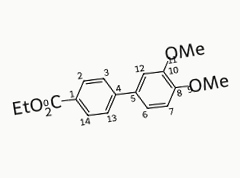 CCOC(=O)c1ccc(-c2ccc(OC)c(OC)c2)cc1